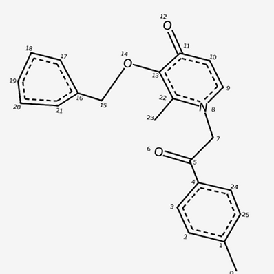 Cc1ccc(C(=O)Cn2ccc(=O)c(OCc3ccccc3)c2C)cc1